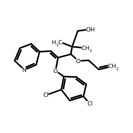 C=CCOC(C(=Cc1cccnc1)Oc1ccc(Cl)cc1Cl)C(C)(C)CO